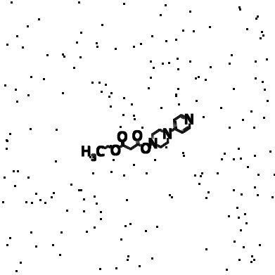 CCOC(=O)CC(=O)ON1CCN(c2ccncc2)CC1